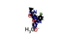 C[S+]([O-])N1CCN(C(=O)c2cnc3ccc(F)cc3c2N2CCN(C(=O)/C(C#N)=C/C3CC3)CC2)CC1